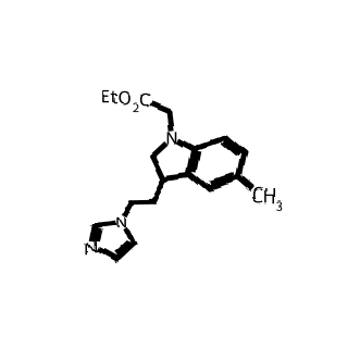 CCOC(=O)CN1CC(CCn2ccnc2)c2cc(C)ccc21